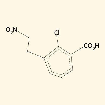 O=C(O)c1cccc(CC[N+](=O)[O-])c1Cl